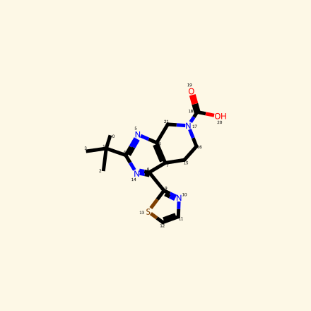 CC(C)(C)c1nc2c(c(-c3nccs3)n1)CCN(C(=O)O)C2